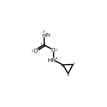 CCCC(=O)ONC1CC1